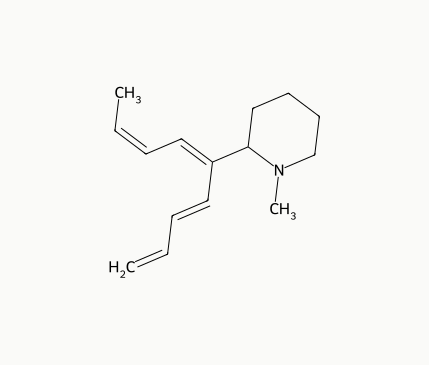 C=C/C=C/C(=C\C=C/C)C1CCCCN1C